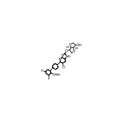 COc1c(F)cc(F)cc1-c1ccc(-c2nc3nc(OC4CO[C@@H]5C(O)CO[C@H]45)[nH]c3cc2Cl)cc1